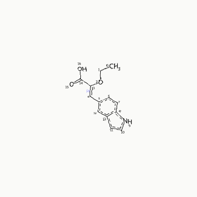 CCO/C(=C\c1ccc2[nH]ccc2c1)C(=O)O